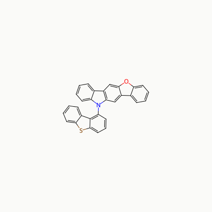 c1ccc2c(c1)oc1cc3c4ccccc4n(-c4cccc5sc6ccccc6c45)c3cc12